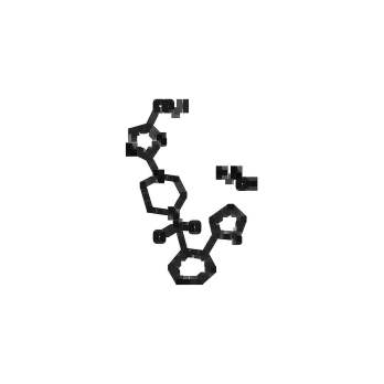 NO.O=C(O)c1cnc(N2CCN(S(=O)(=O)c3ccccc3-c3cccs3)CC2)s1